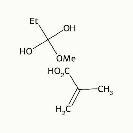 C=C(C)C(=O)O.CCC(O)(O)OC